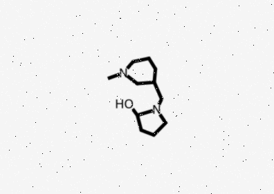 CN1CCCC(CN2CCCC2O)C1